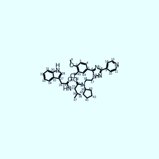 COc1ccc(-c2nc(-c3ccncc3)nn2CCN(C(=O)[C@@H](NC(=O)Cc2c[nH]c3ccccc23)C(C)C)C2CCCC2)cc1Cl